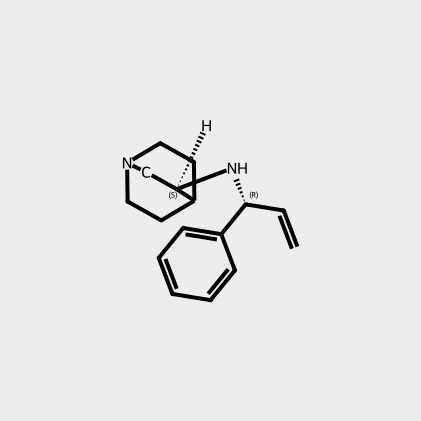 C=C[C@@H](N[C@@H]1CN2CCC1CC2)c1ccccc1